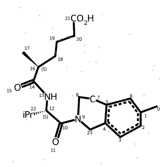 Cc1ccc2c(c1)CCN(C(=O)[C@@H](NC(=O)[C@@H](C)CCCC(=O)O)C(C)C)C2